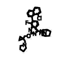 Fc1c(-c2cccc3cccc(Cl)c23)ccc2c(N3CC4CCC(C3)N4)nc(OCC3(CN4CCCC4)CC3)nc12